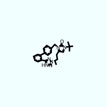 CCCCc1cn(C(C)(C)C)c(=O)n1Cc1ccc(-c2ccccc2-c2nnn[nH]2)cc1